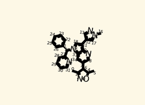 CC1=NOC(C)C1c1cnc2c(-c3cnn(C)c3)cn([C@H](c3ccccc3)c3ccccn3)c2c1